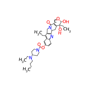 CCCCN(CC)C1CCN(C(=O)Oc2ccc3nc4c(c(CC)c3c2)CN2C(=O)C3=C(CC42)[C@@](O)(CC)C(O)OC3)CC1